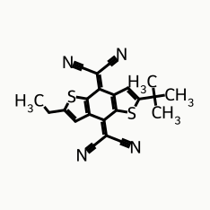 CCc1cc2c(=C(C#N)C#N)c3sc(C(C)(C)C)cc3c(=C(C#N)C#N)c2s1